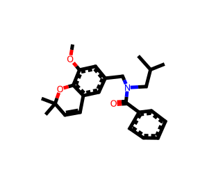 COc1cc(CN(CC(C)C)C(=O)c2ccccc2)cc2c1OC(C)(C)C=C2